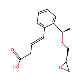 C[C@@H](OC[C@H]1CO1)c1ccccc1/C=C/CC(=O)O